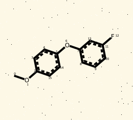 COc1ccc(Oc2cc[c]c(F)c2)cc1